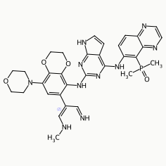 CN/C=C(\C=N)c1cc(N2CCOCC2)c2c(c1Nc1nc(Nc3ccc4nccnc4c3P(C)(C)=O)c3cc[nH]c3n1)OCCO2